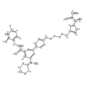 CCN(c1cc(-c2ccc(OCCCCOc3cc([C@@H](C(=O)OC)C(C)C)on3)cc2)cc(C(=O)NCc2c(C)cc(C)[nH]c2=O)c1C)C1CCOCC1